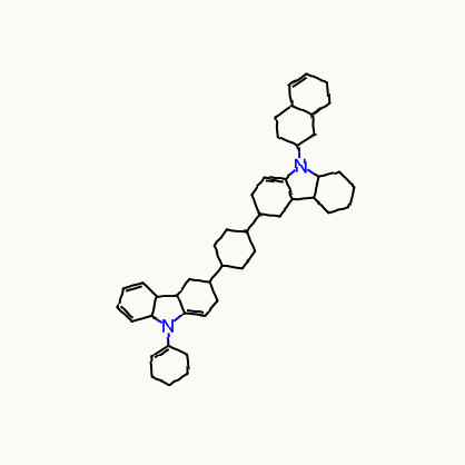 C1=CC2C3CC(C4CCC(C5CC=C6C(C5)C5CCCCC5N6C5CCC6C=CCCC6C5)CC4)CC=C3N(C3=CCCCC3)C2C=C1